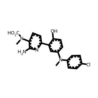 CN(C(=O)O)c1ccc(-c2cc(N(C)c3ccc(Cl)cc3)ccc2O)nc1N